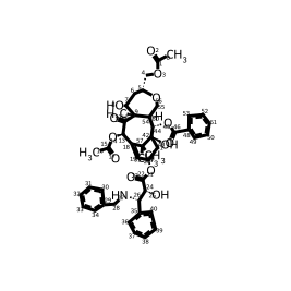 CC(=O)OC[C@H]1C[C@H](O)[C@@]2(C)C(=O)[C@H](OC(C)=O)C3=C[C@@H](OC(=O)[C@H](O)[C@@H](NCc4ccccc4)c4ccccc4)C[C@@](O)([C@@H](OC(=O)c4ccccc4)[C@@H]2CO1)C3(C)C